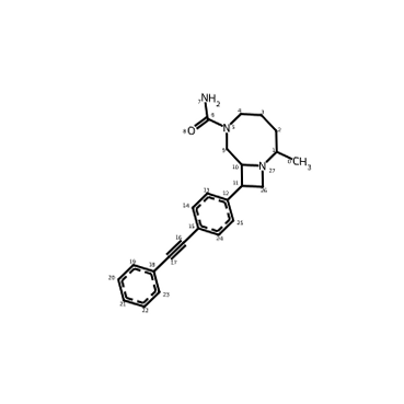 CC1CCCN(C(N)=O)CC2C(c3ccc(C#Cc4ccccc4)cc3)CN12